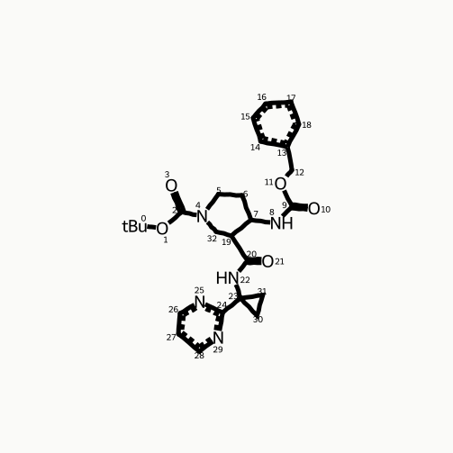 CC(C)(C)OC(=O)N1CCC(NC(=O)OCc2ccccc2)C(C(=O)NC2(c3ncccn3)CC2)C1